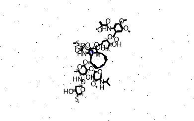 C=C(OC)C(=O)Nc1cc(OC)c(OC)cc1C(=O)O[C@H]1CC(O[C@@H]2C(=O)C(NC(=O)OC)=C3/C(=C\CSSSC)[C@]2(O)CC#C/C=C\C#C[C@@H]3O[C@@H]2O[C@H](C)[C@@H](NO[C@H]3C[C@H](O)[C@H](SC)[C@@H](C)O3)[C@H](O)[C@H]2O[C@H]2C[C@H](OC)[C@@H](NC(C)C)CO2)O[C@@H](C)[C@@H]1O